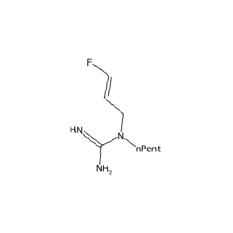 CCCCCN(CC=CF)C(=N)N